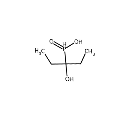 CCC(O)(CC)[PH](=O)O